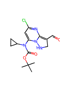 CC(C)(C)OC(=O)N(C1=CC(Cl)=NC2=C(C=O)CNN12)C1CC1